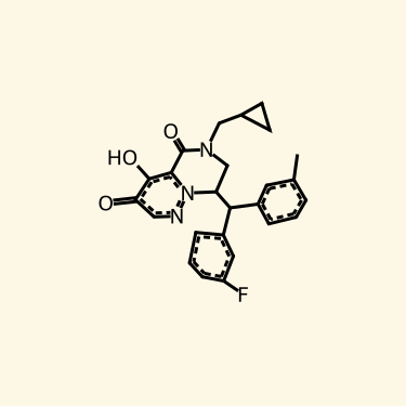 Cc1cccc(C(c2cccc(F)c2)C2CN(CC3CC3)C(=O)c3c(O)c(=O)cnn32)c1